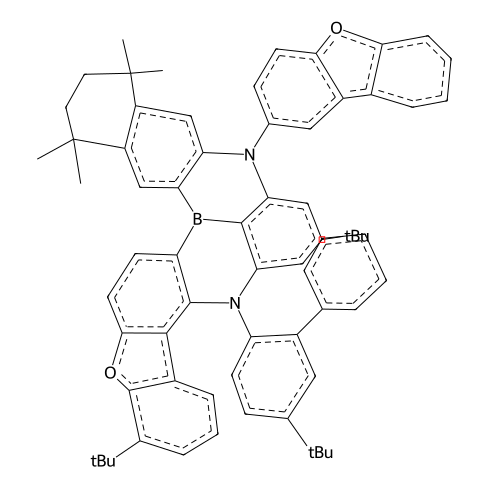 CC(C)(C)c1ccc(N2c3cc(C(C)(C)C)cc4c3B(c3cc5c(cc3N4c3ccc4oc6ccccc6c4c3)C(C)(C)CCC5(C)C)c3ccc4oc5c(C(C)(C)C)cccc5c4c32)c(-c2ccccc2)c1